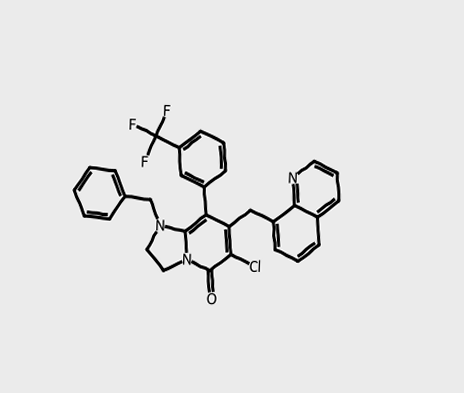 O=c1c(Cl)c(Cc2cccc3cccnc23)c(-c2cccc(C(F)(F)F)c2)c2n1CCN2Cc1ccccc1